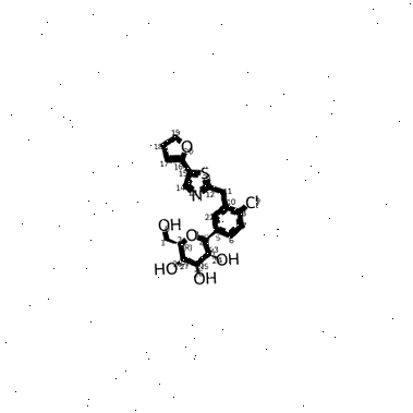 OC[C@H]1O[C@@H](c2ccc(Cl)c(Cc3ncc(C4=CCCO4)s3)c2)[C@H](O)[C@@H](O)[C@@H]1O